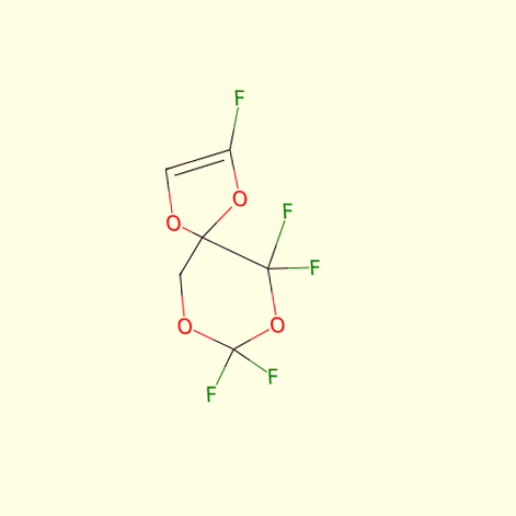 FC1=COC2(COC(F)(F)OC2(F)F)O1